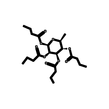 CCCC(=O)O[C@H]1O[C@@H](C)[C@H](OC(=O)CCC)[C@@H](OC(=O)CCC)[C@H]1OC(=O)CCC